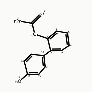 CCCC(=O)Oc1ccccc1-c1ccc(O)cc1